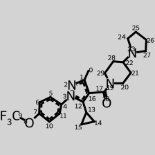 Cc1nn(-c2ccc(OC(F)(F)F)cc2)c(C2CC2)c1C(=O)N1CCC(N2CCCC2)CC1